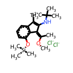 COC(C)=C1C(NC(C)(C)C)=[C]([Ti+2])c2cccc(O[Si](C)(C)C)c21.[Cl-].[Cl-]